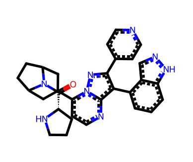 O=C([C@@H]1CCCN1)N1C2CCC1CC(c1ccnc3c(-c4cccc5[nH]ncc45)c(-c4ccncc4)nn13)C2